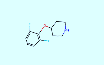 Fc1cccc(F)c1OC1CCNCC1